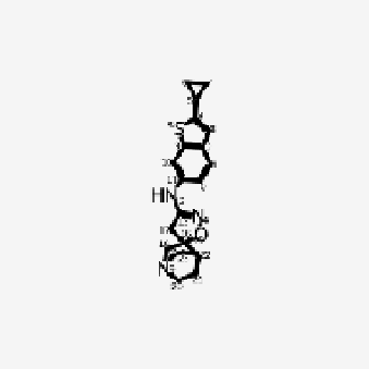 c1cc2cc(C3CC3)sc2cc1NC1=NOC2(C1)CN1CCC2CC1